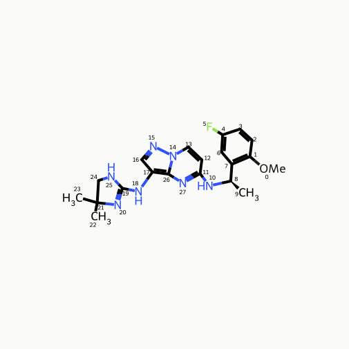 COc1ccc(F)cc1[C@@H](C)Nc1ccn2ncc(NC3=NC(C)(C)CN3)c2n1